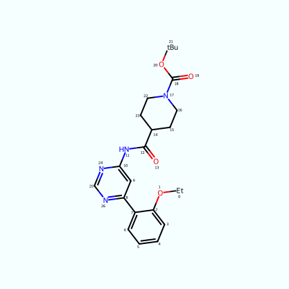 CCOc1ccccc1-c1cc(NC(=O)C2CCN(C(=O)OC(C)(C)C)CC2)ncn1